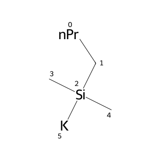 CCCC[Si](C)(C)[K]